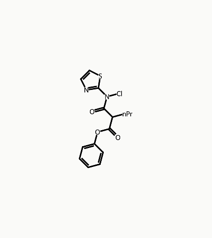 CCCC(C(=O)Oc1ccccc1)C(=O)N(Cl)c1nccs1